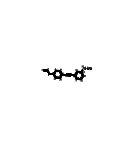 C=CCc1ccc(C#Cc2c[c]cc(CCCCCC)c2)cc1